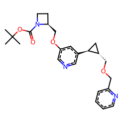 CC(C)(C)OC(=O)N1CC[C@H]1COc1cncc([C@H]2C[C@@H]2COCc2ccccn2)c1